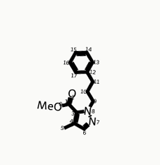 COC(=O)c1c(C)cnn1CCCc1ccccc1